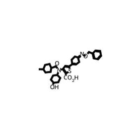 CC1CCC(C(=O)N(c2cc(C3=CCC(=NOCc4ccccc4)CC3)sc2C(=O)O)C2CCC(O)CC2)CC1